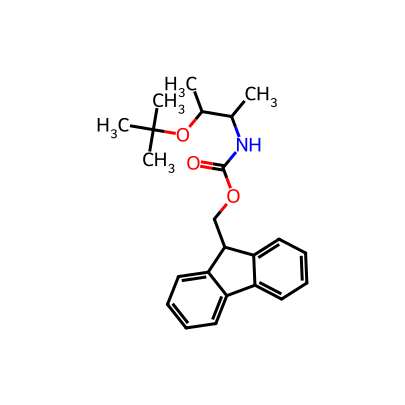 CC(NC(=O)OCC1c2ccccc2-c2ccccc21)C(C)OC(C)(C)C